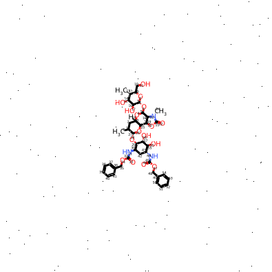 CC1C[C@@H]2OC(O[C@H]3OC(CO)[C@@H](C)[C@H](O)C3O)C3C(OC(=O)N3C)C2O[C@@H]1O[C@@H]1C(NC(=O)OCc2ccccc2)C[C@@H](NC(=O)OCc2ccccc2)C(O)[C@H]1O